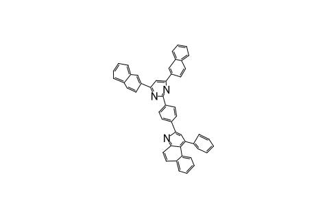 c1ccc(-c2cc(-c3ccc(-c4nc(-c5ccc6ccccc6c5)cc(-c5ccc6ccccc6c5)n4)cc3)nc3ccc4ccccc4c23)cc1